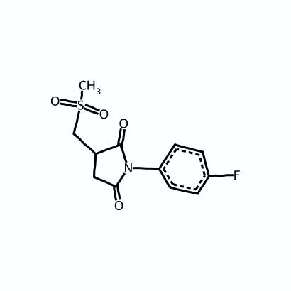 CS(=O)(=O)CC1CC(=O)N(c2ccc(F)cc2)C1=O